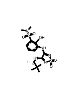 C[C@H](NC1=NS(=O)(=O)N=C1Nc1cccc(S(=O)(=O)N(C)C)c1O)C(C)(C)C